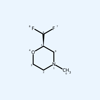 CN1CCO[C@@H](C(F)F)C1